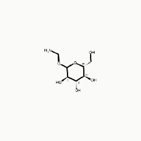 NCOC1O[C@H](CO)[C@@H](O)[C@H](O)[C@H]1O